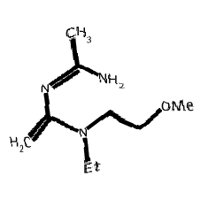 C=C(/N=C(/C)N)N(CC)CCOC